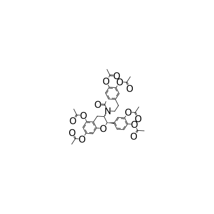 CC(=O)Oc1cc(OC(C)=O)c2c(c1)O[C@H](c1ccc(OC(C)=O)c(OC(C)=O)c1)[C@H](N(CCc1ccc(OC(C)=O)c(OC(C)=O)c1)C(C)=O)C2